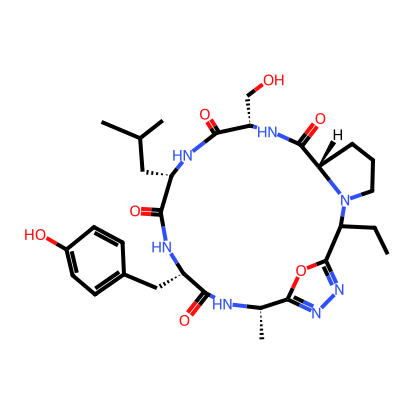 CCC1c2nnc(o2)[C@H](C)NC(=O)[C@H](Cc2ccc(O)cc2)NC(=O)[C@H](CC(C)C)NC(=O)[C@H](CO)NC(=O)[C@@H]2CCCN12